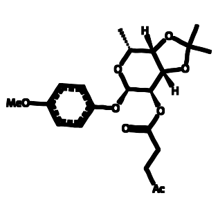 COc1ccc(O[C@H]2O[C@H](C)[C@@H]3OC(C)(C)O[C@@H]3[C@H]2OC(=O)CCC(C)=O)cc1